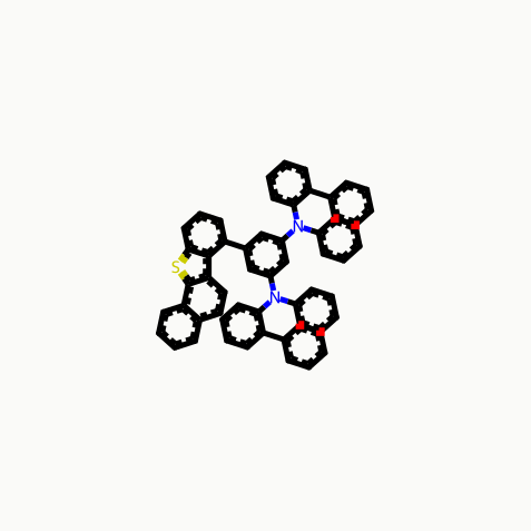 c1ccc(-c2ccccc2N(c2ccccc2)c2cc(-c3cccc4sc5c6ccccc6ccc5c34)cc(N(c3ccccc3)c3ccccc3-c3ccccc3)c2)cc1